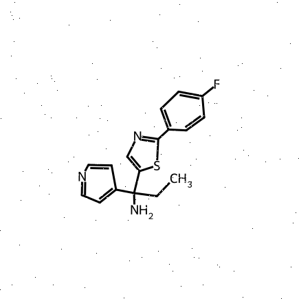 CCC(N)(c1ccncc1)c1cnc(-c2ccc(F)cc2)s1